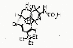 CC[Si](CC)(CC)c1cc(Br)nc([C@@]2(C)N=C(NC(=O)O)C(C)(C)[SH]3(=O)NCC(F)(F)C[C@H]23)c1F